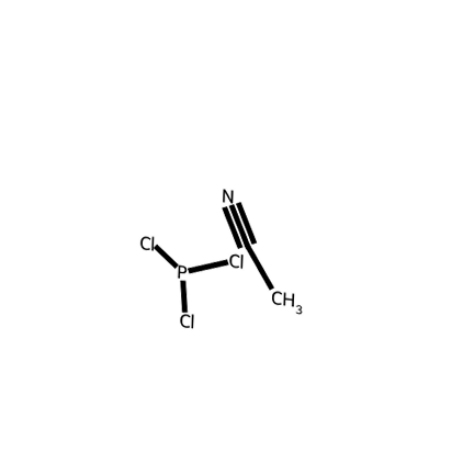 CC#N.ClP(Cl)Cl